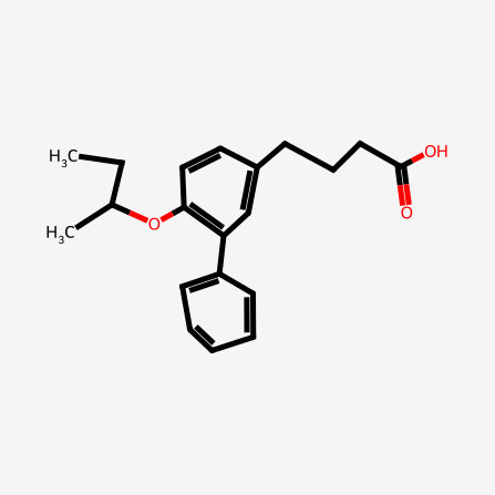 CCC(C)Oc1ccc(CCCC(=O)O)cc1-c1ccccc1